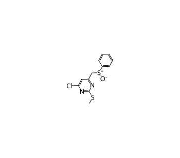 CSc1nc(Cl)cc(C[S+]([O-])c2ccccc2)n1